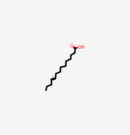 CCC/C=C/CCCCCCCCC(=O)O